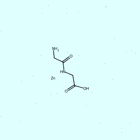 NCC(=O)NCC(=O)O.[Zn]